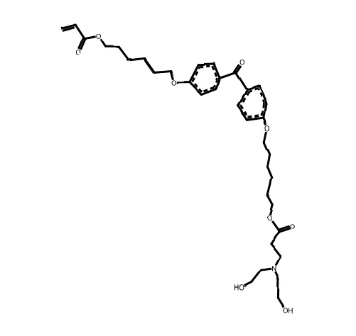 C=CC(=O)OCCCCCCOc1ccc(C(=O)c2ccc(OCCCCCCOC(=O)CCN(CCO)CCO)cc2)cc1